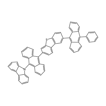 c1ccc(-c2c3ccccc3c(-c3ccc4sc5cc(-c6c7ccccc7c(-n7c8ccccc8c8ccccc87)c7ccccc67)ccc5c4c3)c3ccccc23)cc1